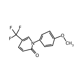 COc1ccc(-n2cc(C(F)(F)F)ccc2=O)cc1